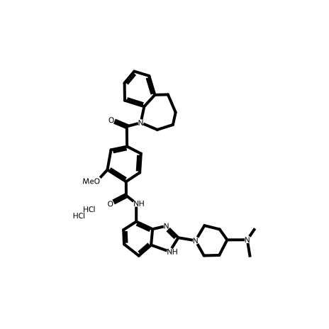 COc1cc(C(=O)N2CCCCc3ccccc32)ccc1C(=O)Nc1cccc2[nH]c(N3CCC(N(C)C)CC3)nc12.Cl.Cl